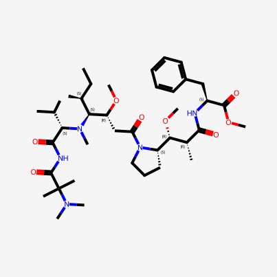 CC[C@H](C)[C@@H]([C@@H](CC(=O)N1CCC[C@H]1[C@H](OC)[C@@H](C)C(=O)N[C@@H](Cc1ccccc1)C(=O)OC)OC)N(C)[C@H](C(=O)NC(=O)C(C)(C)N(C)C)C(C)C